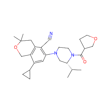 CC(C)[C@@H]1CN(c2cc(C3CC3)c3c(c2C#N)CC(C)(C)OC3)CCN1C(=O)C1CCOC1